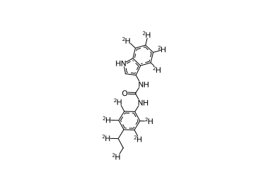 [2H]CC([2H])c1c([2H])c([2H])c(NC(=O)Nc2c[nH]c3c([2H])c([2H])c([2H])c([2H])c23)c([2H])c1[2H]